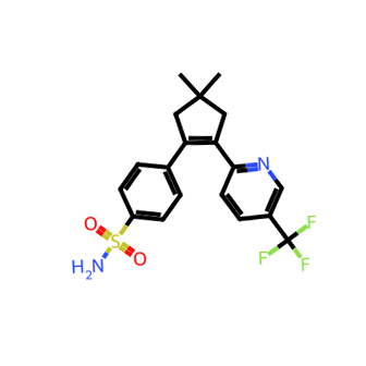 CC1(C)CC(c2ccc(S(N)(=O)=O)cc2)=C(c2ccc(C(F)(F)F)cn2)C1